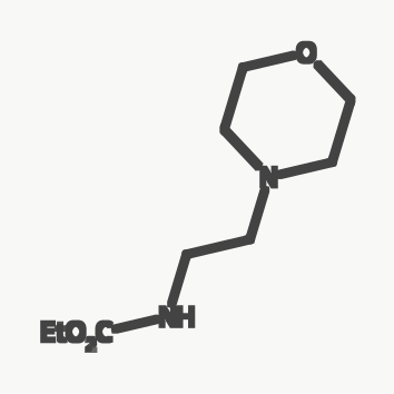 CCOC(=O)NCCN1CCOCC1